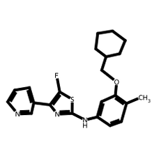 Cc1ccc(Nc2nc(-c3cccnc3)c(F)s2)cc1OCC1CCCCC1